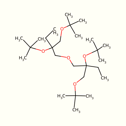 CCC(COCC(CC)(COC(C)(C)C)OC(C)(C)C)(COC(C)(C)C)OC(C)(C)C